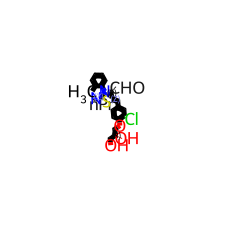 CCC/N=C1\S/C(=C\c2ccc(OC[C@H](O)CO)c(Cl)c2)[C@@H](C=O)N1c1ccccc1C